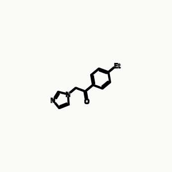 CCc1ccc(C(=O)Cn2ccnc2)cc1